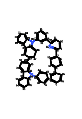 c1ccc(-c2ccc(-c3cccc(-c4cccc(-n5c6ccccc6c6cc(-c7ccc8c9ccccc9n(-c9ccccc9)c8c7)ccc65)c4)n3)cc2)cc1